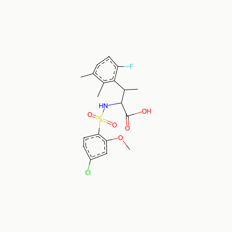 COc1cc(Cl)ccc1S(=O)(=O)NC(C(=O)O)C(C)c1c(F)ccc(C)c1C